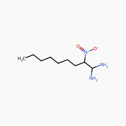 CCCCCCC[C](C(N)N)[N+](=O)[O-]